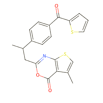 Cc1csc2nc(CC(C)c3ccc(C(=O)c4cccs4)cc3)oc(=O)c12